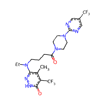 CCN(CCCC(=O)N1CCN(c2ncc(C(F)(F)F)cn2)CC1)c1n[nH]c(=O)c(C(F)(F)F)c1C